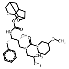 COC1CCCN(C(=O)N(CC(C)C)C[C@@H](O)[C@H](Cc2ccccc2)NC(=O)OC2C3COC4OC2CC4C3)C1